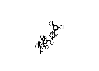 C[C@H]1CN(C(=O)CCC2(c3cocn3)NC(=O)NC2=O)CCN1c1cc(Cl)cc(Cl)c1